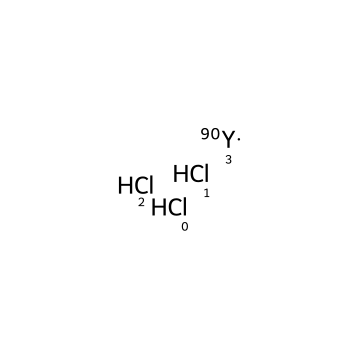 Cl.Cl.Cl.[90Y]